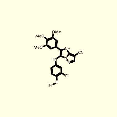 COc1cc(-c2[nH]c3c(C#N)cnn3c2Nc2ccc(OC(C)C)c(Cl)c2)cc(OC)c1OC